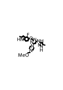 COCCN1CCN(c2cc(Nc3cc(C)[nH]n3)nc(Oc3ccc4[nH]c(C)cc4c3F)n2)CC1